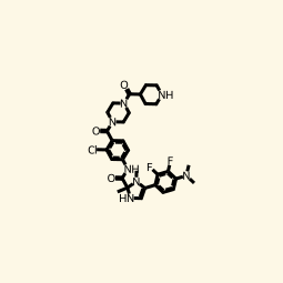 CN(C)c1ccc(C2=CNC(C)(C(=O)Nc3ccc(C(=O)N4CCN(C(=O)C5CCNCC5)CC4)c(Cl)c3)N2C)c(F)c1F